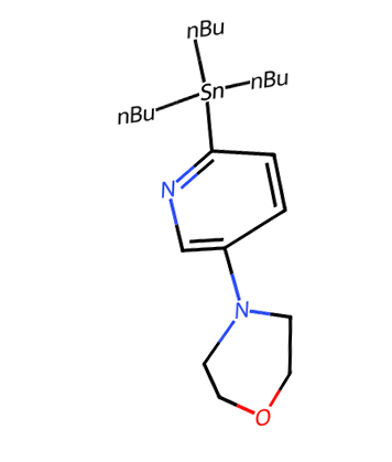 CCC[CH2][Sn]([CH2]CCC)([CH2]CCC)[c]1ccc(N2CCOCC2)cn1